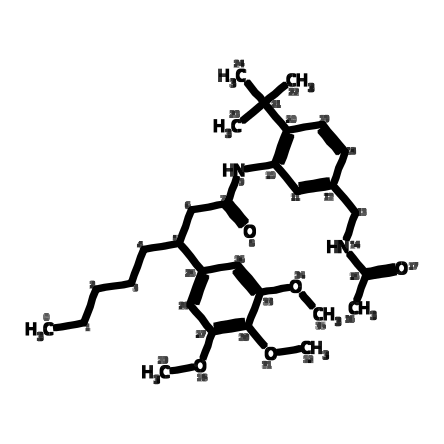 CCCCCC(CC(=O)Nc1cc(CNC(C)=O)ccc1C(C)(C)C)c1cc(OC)c(OC)c(OC)c1